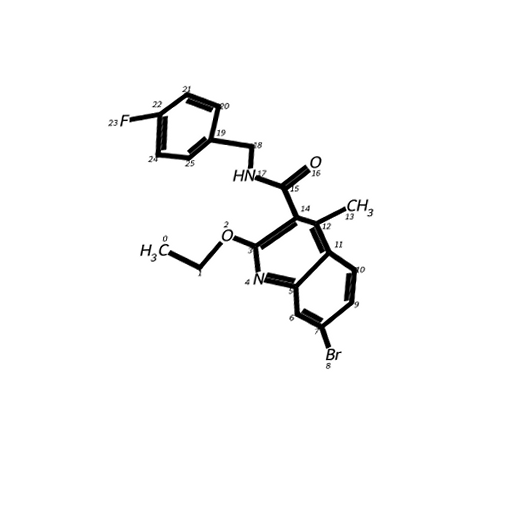 CCOc1nc2cc(Br)ccc2c(C)c1C(=O)NCc1ccc(F)cc1